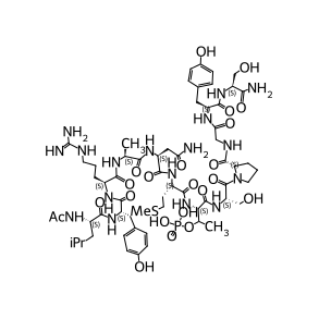 CSCC[C@H](NC(=O)[C@H](CC(N)=O)NC(=O)[C@H](C)NC(=O)[C@H](CCCNC(=N)N)NC(=O)[C@H](Cc1ccc(O)cc1)NC(=O)[C@H](CC(C)C)NC(C)=O)C(=O)N[C@H](C(=O)N[C@@H](CO)C(=O)N1CCC[C@H]1C(=O)NCC(=O)N[C@@H](Cc1ccc(O)cc1)C(=O)N[C@@H](CO)C(N)=O)C(C)OP(=O)(O)O